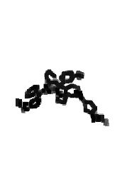 COC(=O)N[C@H]1CCC[C@@H]1[C@](CN1CCC1)(c1cccc(F)c1)C1CCN(C2CC[C@H](N)C2)CC1